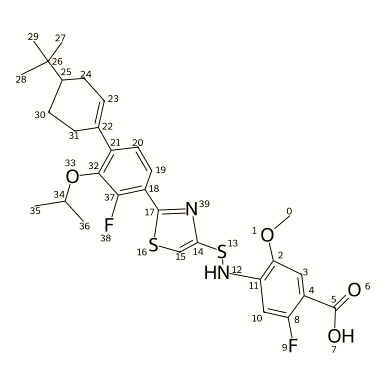 COc1cc(C(=O)O)c(F)cc1NSc1csc(-c2ccc(C3=CCC(C(C)(C)C)CC3)c(OC(C)C)c2F)n1